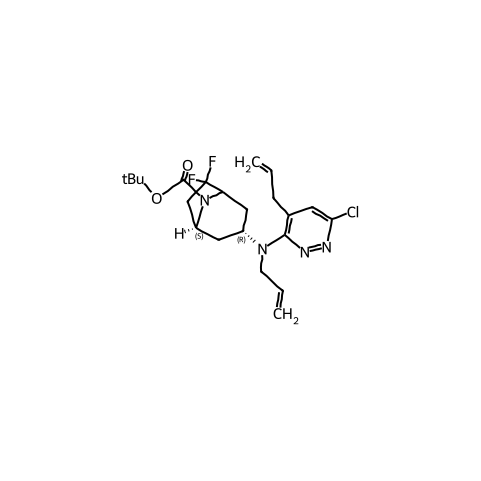 C=CCc1cc(Cl)nnc1N(CC=C)[C@H]1CC2N(C(=O)OC(C)(C)C)[C@@H](C1)CC2(F)F